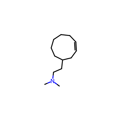 CN(C)CCC1C/C=C\CCCCC1